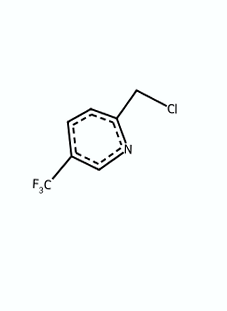 FC(F)(F)c1ccc(CCl)nc1